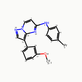 CC(C)c1ccc(Nc2ccn3ncc(-c4cccc(OC(F)(F)F)c4)c3n2)cc1